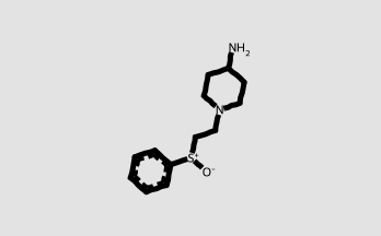 NC1CCN(CC[S+]([O-])c2ccccc2)CC1